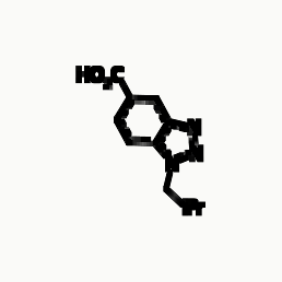 CC(C)Cn1nnc2cc(C(=O)O)ccc21